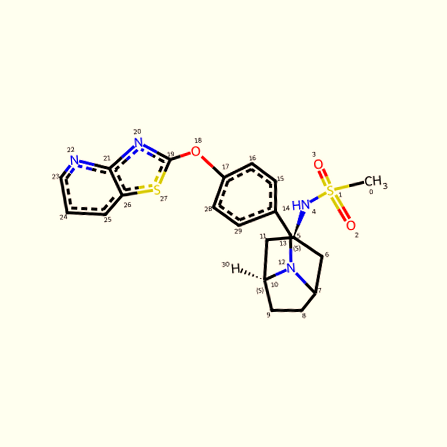 CS(=O)(=O)N[C@H]1CC2CC[C@@H](C1)N2Cc1ccc(Oc2nc3ncccc3s2)cc1